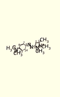 Cc1cc(N=NC2C=CC(N(C)C)=CC2)n(C)[n+]1C